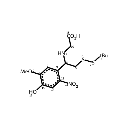 COc1cc(C(CSSC(C)(C)C)NCC(=O)O)c([N+](=O)[O-])cc1O